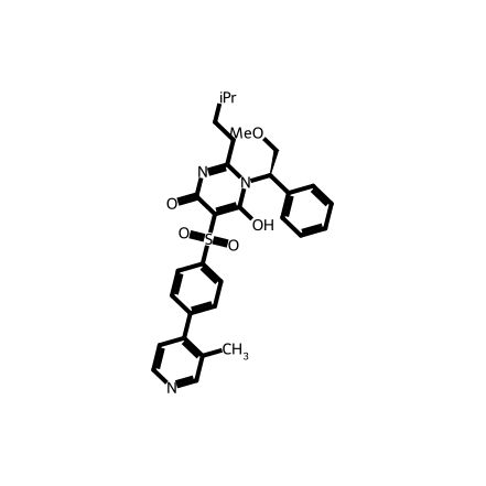 COC[C@@H](c1ccccc1)n1c(CCC(C)C)nc(=O)c(S(=O)(=O)c2ccc(-c3ccncc3C)cc2)c1O